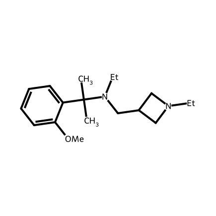 CCN1CC(CN(CC)C(C)(C)c2ccccc2OC)C1